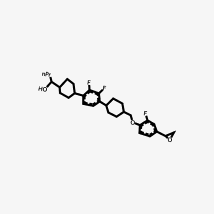 CCCC(O)C1CCC(c2ccc(C3CCC(COc4ccc(C5CO5)cc4F)CC3)c(F)c2F)CC1